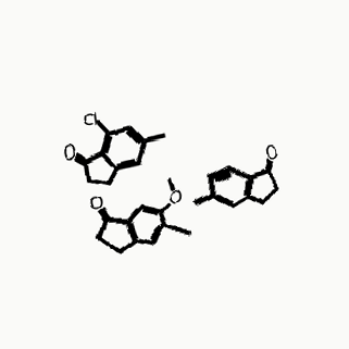 COc1cc2c(cc1C)CCC2=O.Cc1cc(Cl)c2c(c1)CCC2=O.Cc1ccc2c(c1)CCC2=O